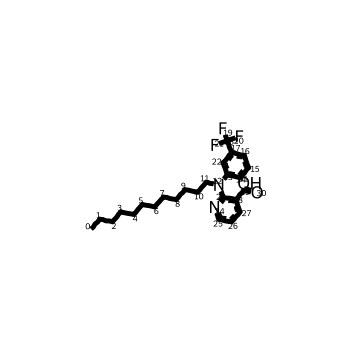 CCCCCCCCCCCCN(c1cccc(C(F)(F)F)c1)c1ncccc1C(=O)O